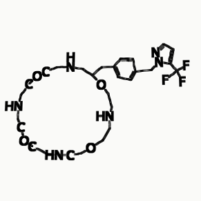 FC(F)(F)c1ccnn1Cc1ccc(CC2CNCCOCCNCCOCCNCCOCCNCCO2)cc1